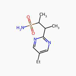 CCc1cnc(C(C)C(C)S(N)(=O)=O)nc1